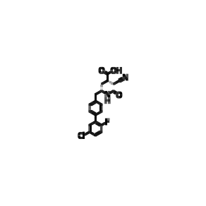 N#CC[C@H](C[C@@H](Cc1ccc(-c2cc(Cl)ccc2F)cc1)NC=O)C(=O)O